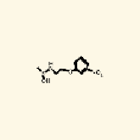 CB(O)NCCOc1cccc([N+](=O)[O-])c1